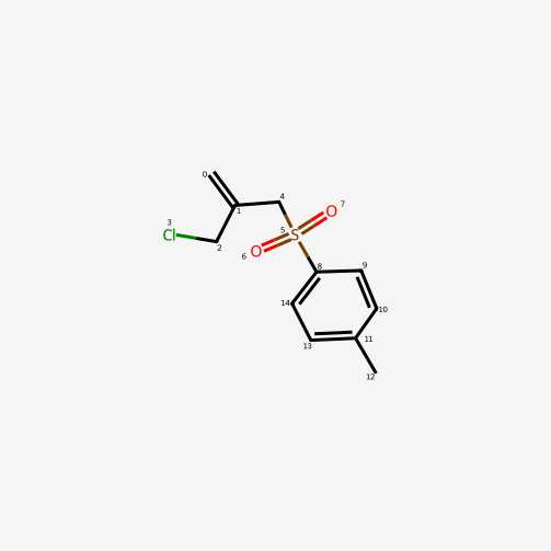 C=C(CCl)CS(=O)(=O)c1ccc(C)cc1